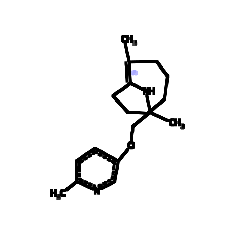 C/C1=C(/NC(C)COc2ccc(C)nc2)CCCCCC1